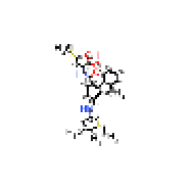 CCSCC(CC(C)C)NCc1ccc(C(=O)NC(CCSC)C(=O)O)c(-c2ccccc2C)c1